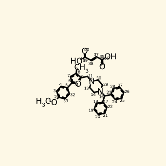 COc1ccc(-c2cc(C)c(CN3CCN(C(c4ccccc4)c4ccccc4)CC3)o2)cc1.O=C(O)C=CC(=O)O